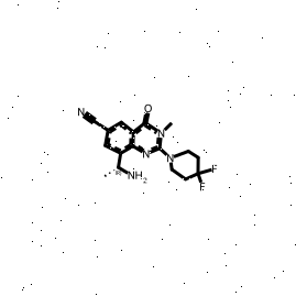 C[C@@H](N)c1cc(C#N)cc2c(=O)n(C)c(N3CCC(F)(F)CC3)nc12